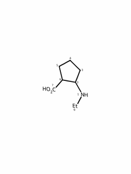 CCNC1CCCC1C(=O)O